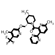 Cc1ccc(-c2ncccn2)c(C(=O)N2CC[C@@H](C)C[C@H]2COc2cc(C)c(C(F)(F)F)cn2)n1